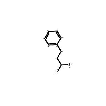 CCC(Br)[CH]Cc1ccccc1